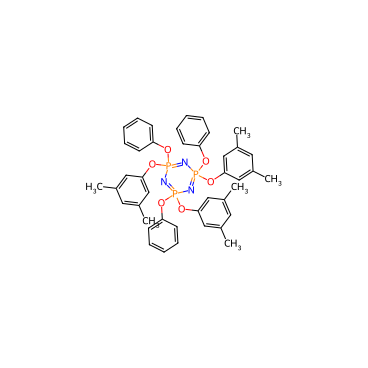 Cc1cc(C)cc(OP2(Oc3ccccc3)=NP(Oc3ccccc3)(Oc3cc(C)cc(C)c3)=NP(Oc3ccccc3)(Oc3cc(C)cc(C)c3)=N2)c1